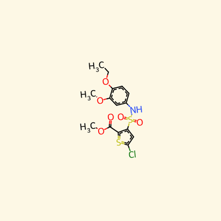 CCOc1ccc(NS(=O)(=O)c2cc(Cl)sc2C(=O)OC)cc1OC